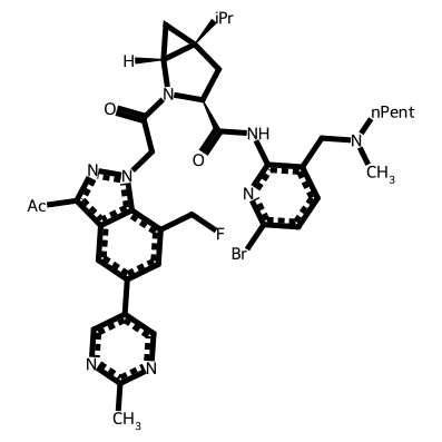 CCCCCN(C)Cc1ccc(Br)nc1NC(=O)[C@@H]1C[C@@]2(C(C)C)C[C@H]2N1C(=O)Cn1nc(C(C)=O)c2cc(-c3cnc(C)nc3)cc(CF)c21